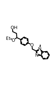 CCOC(CCO)c1ccc(OCc2nc3ccccc3n2C)cc1